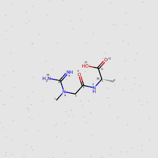 C[C@H](NC(=O)CN(C)C(=N)N)C(=O)O